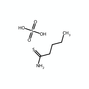 CCCCC(N)=S.O=S(=O)(O)O